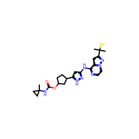 CC1(NC(=O)OC2CCC(c3cc(Nc4nccn5nc(C(C)(C)S)cc45)n[nH]3)C2)CC1